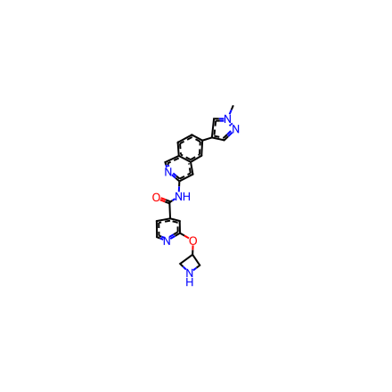 Cn1cc(-c2ccc3cnc(NC(=O)c4ccnc(OC5CNC5)c4)cc3c2)cn1